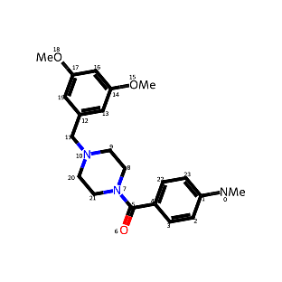 CNc1ccc(C(=O)N2CCN(Cc3cc(OC)cc(OC)c3)CC2)cc1